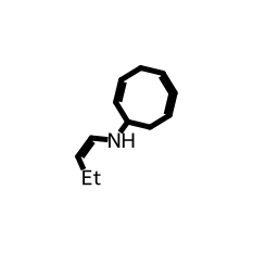 CC/C=C\NC1C=CCC=C=CC1